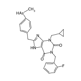 C[AsH]c1ccc(Cc2nc3c([nH]2)c(=O)n(Cc2ccccc2F)c(=O)n3CC2CC2)cc1